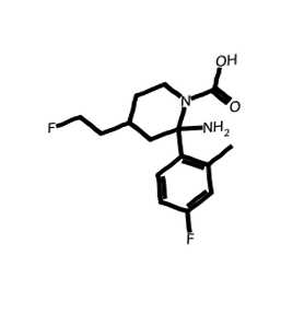 Cc1cc(F)ccc1C1(N)CC(CCF)CCN1C(=O)O